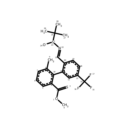 COC(=S)c1cccc(C)c1-c1cc(C(F)(F)F)ccc1/C=N/[S+]([O-])C(C)(C)C